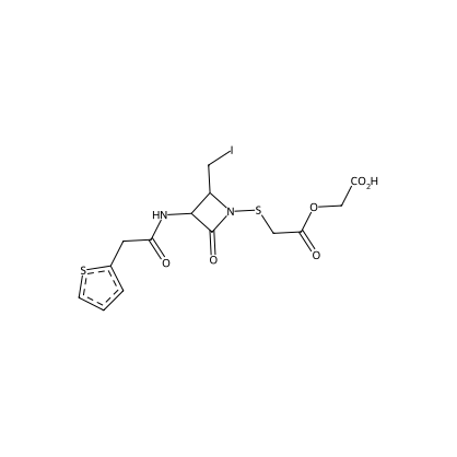 O=C(O)COC(=O)CSN1C(=O)C(NC(=O)Cc2cccs2)C1CI